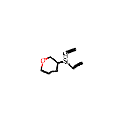 C=C[SiH](C=C)C1CCCOC1